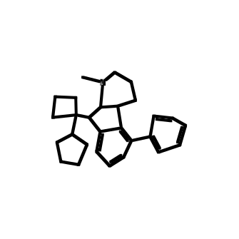 CN1CCCC2c3c(-c4ccccc4)cccc3C(C3(C4CCCC4)CCC3)C21